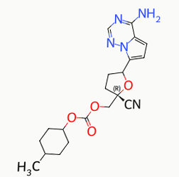 CC1CCC(OC(=O)OC[C@]2(C#N)CCC(c3ccc4c(N)ncnn34)O2)CC1